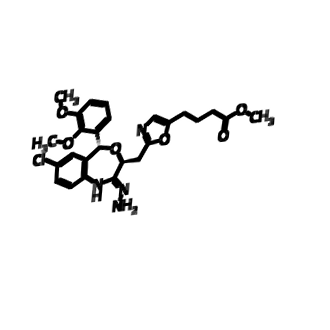 COC(=O)CCCc1cnc(C[C@@H]2O[C@@H](c3cccc(OC)c3OC)c3cc(Cl)ccc3NC2=NN)o1